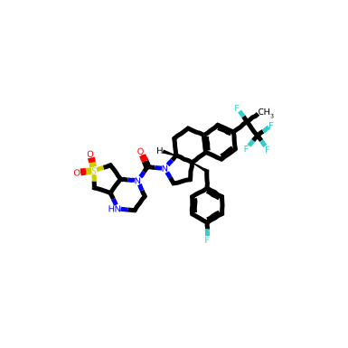 CC(F)(c1ccc2c(c1)CC[C@H]1N(C(=O)N3CCNC4CS(=O)(=O)CC43)CC[C@@]21Cc1ccc(F)cc1)C(F)(F)F